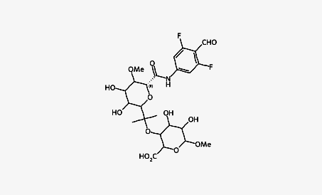 COC1OC(C(=O)O)C(OC(C)(C)C2O[C@@H](C(=O)Nc3cc(F)c(C=O)c(F)c3)C(OC)C(O)C2O)C(O)C1O